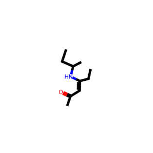 CCC(=CC(C)=O)NC(C)CC